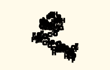 CCOC(=O)C(Cl)Cc1cc(-n2nc(C)n(C(F)F)c2=O)c(F)cc1Cl.CCS(=O)(=O)c1cccnc1S(=O)(=O)NC(=O)Nc1nc(OC)cc(OC)n1.CP(=O)(O)CCC(N)C(=O)O.O=C(Nc1nc(OC(F)F)cc(OC(F)F)n1)NS(=O)(=O)c1ccccc1C(=O)O